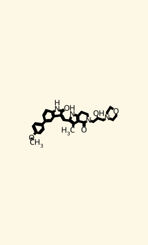 COc1ccc(-c2ccc3c(c2)/C(=C/c2[nH]c4c(c2C)C(=O)N(C[C@@H](O)CN2CCOCC2)CC4)C(=O)N3)cc1